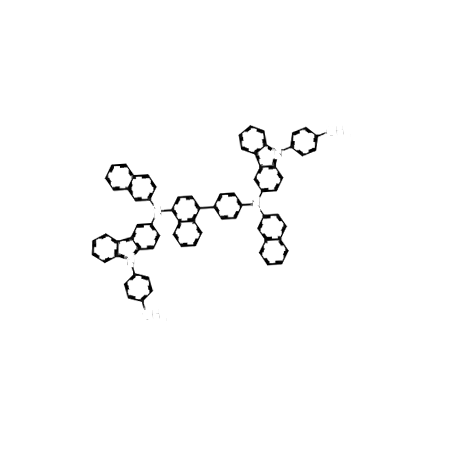 Cc1ccc(-n2c3ccccc3c3cc(N(c4ccc(-c5ccc(N(c6ccc7ccccc7c6)c6ccc7c(c6)c6ccccc6n7-c6ccc(C)cc6)c6ccccc56)cc4)c4ccc5ccccc5c4)ccc32)cc1